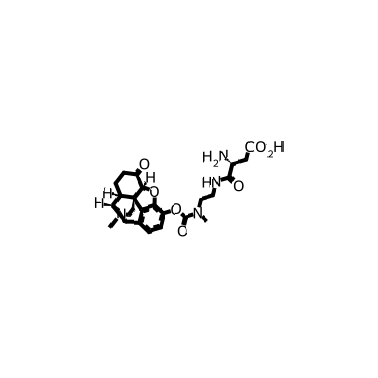 CN(CCNC(=O)[C@H](N)CC(=O)O)C(=O)Oc1ccc2c3c1O[C@H]1C(=O)CC[C@H]4[C@@H](C2)N(C)CC[C@]314